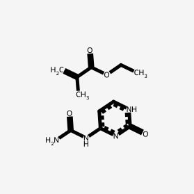 C=C(C)C(=O)OCC.NC(=O)Nc1cc[nH]c(=O)n1